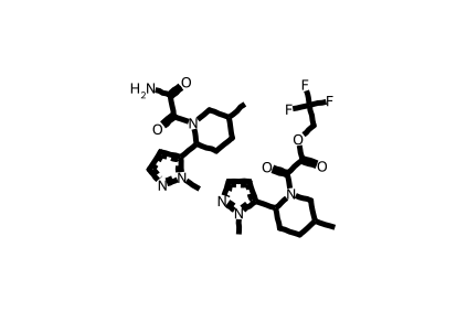 CC1CCC(c2ccnn2C)N(C(=O)C(=O)OCC(F)(F)F)C1.CC1CCC(c2ccnn2C)N(C(=O)C(N)=O)C1